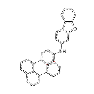 c1ccc(-c2cccc3cccc(-c4ccc(Nc5ccc6c(c5)oc5ccccc56)cc4)c23)cc1